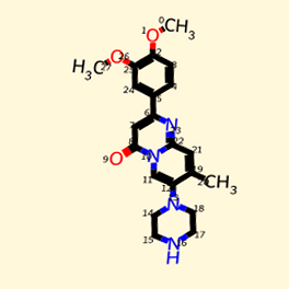 COc1ccc(-c2cc(=O)n3cc(N4CCNCC4)c(C)cc3n2)cc1OC